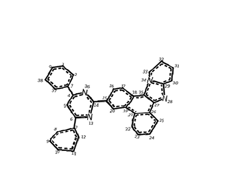 c1ccc(-c2cc(-c3ccccc3)nc(-c3ccc4c(c3)c3ccccc3c3nc5ccccn5c43)n2)cc1